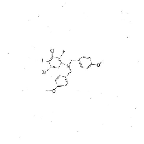 COc1ccc(CN(Cc2ccc(OC)cc2)c2cc(Br)c(I)c(Cl)c2F)cc1